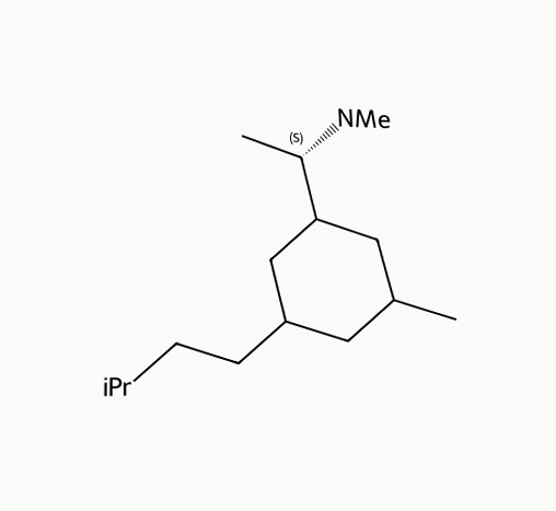 CN[C@@H](C)C1CC(C)CC(CCC(C)C)C1